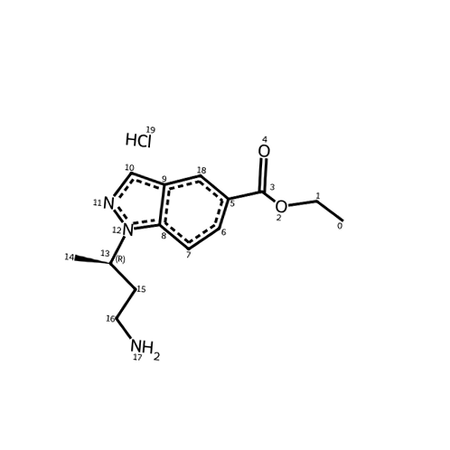 CCOC(=O)c1ccc2c(cnn2[C@H](C)CCN)c1.Cl